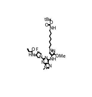 C=CC(=O)N[C@@H]1CN(c2nc(Nc3cn(CCCCCCCNC(=O)OC(C)(C)C)nc3OC)c3ncn(C)c3n2)C[C@H]1F